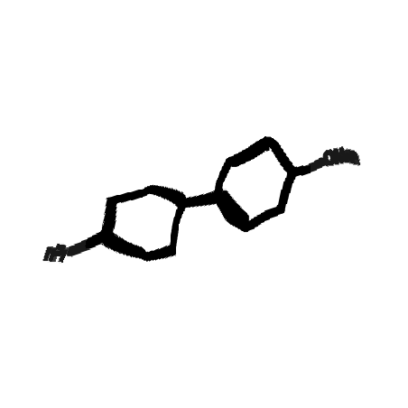 CCCC1CCC(C2=CCC(OC)C=C2)CC1